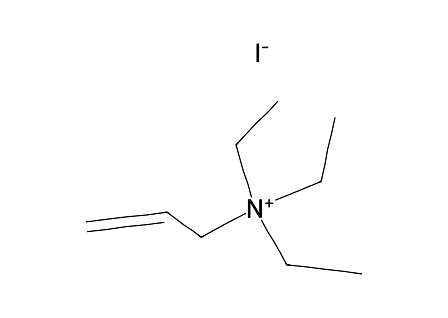 C=CC[N+](CC)(CC)CC.[I-]